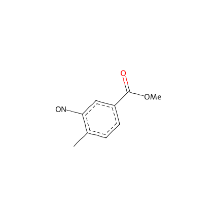 COC(=O)c1ccc(C)c(N=O)c1